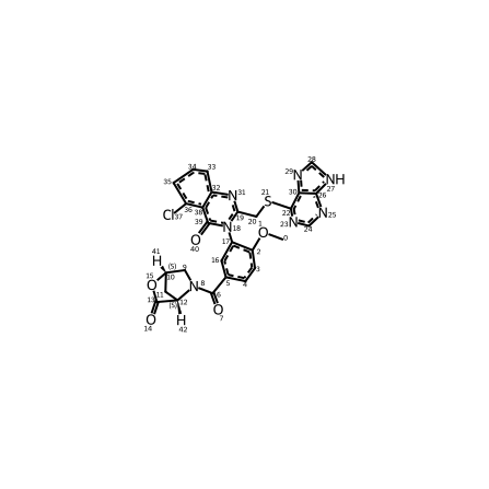 COc1ccc(C(=O)N2C[C@@H]3C[C@H]2C(=O)O3)cc1-n1c(CSc2ncnc3[nH]cnc23)nc2cccc(Cl)c2c1=O